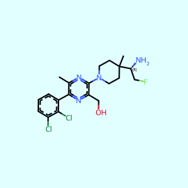 Cc1nc(N2CCC(C)([C@@H](N)CF)CC2)c(CO)nc1-c1cccc(Cl)c1Cl